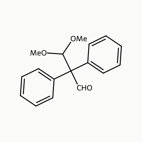 COC(OC)C(C=O)(c1ccccc1)c1ccccc1